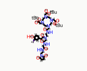 CC(C)(C)OC(=O)CN1CCN(CC(=O)NCCN(CC(=O)NCC(=O)NCCN2C(=O)C=CC2=O)C(=O)Cc2ccc(O)c(I)c2)CCN(CC(=O)OC(C)(C)C)CCN(CC(=O)OC(C)(C)C)CC1